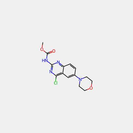 COC(=O)Nc1nc(Cl)c2cc(N3CCOCC3)ccc2n1